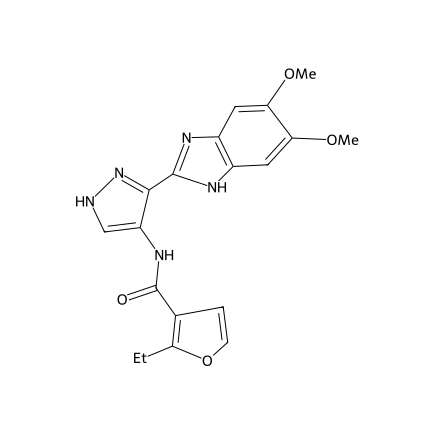 CCc1occc1C(=O)Nc1c[nH]nc1-c1nc2cc(OC)c(OC)cc2[nH]1